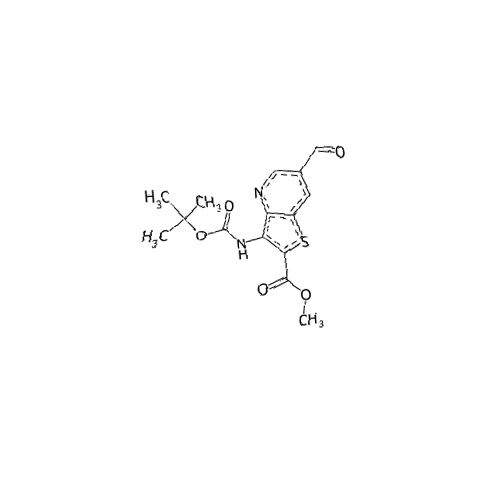 COC(=O)c1sc2cc(C=O)cnc2c1NC(=O)OC(C)(C)C